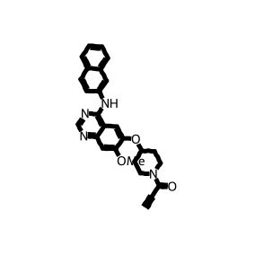 C#CC(=O)N1CCC(Oc2cc3c(Nc4ccc5ccccc5c4)ncnc3cc2OC)CC1